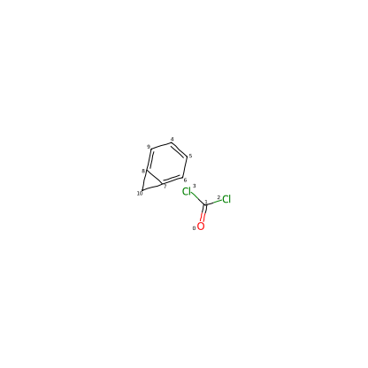 O=C(Cl)Cl.c1ccc2c(c1)C2